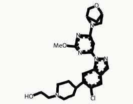 COc1nc(N2CC3CC2CO3)cc(-n2ncc3cc(Cl)c(C4CCN(CCO)CC4)cc32)n1